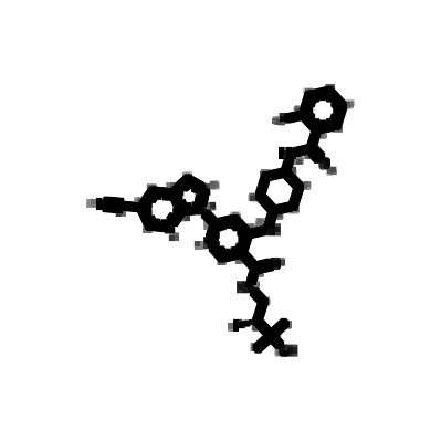 CC(C)(O)[C@H](F)CNC(=O)c1cnc(-n2ncc3cc(C#N)cnc32)cc1NC1CCC(NC(=O)c2ccccc2F)CC1